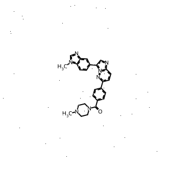 CN1CCN(C(=O)c2ccc(-c3ccc4ncc(-c5ccc6c(c5)ncn6C)n4n3)cc2)CC1